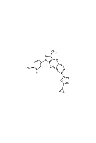 Cc1nn(-c2ccc(C#N)c(Cl)c2)c(C)c1Oc1ccc(-c2nnc(C3CC3)o2)cc1